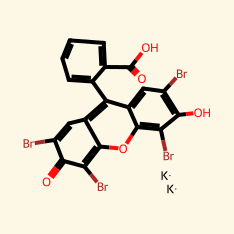 O=C(O)c1ccccc1-c1c2cc(Br)c(=O)c(Br)c-2oc2c(Br)c(O)c(Br)cc12.[K].[K]